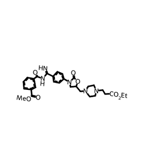 CCOC(=O)CCN1CCN(CC2CN(c3ccc(C(=N)NC(=O)c4cccc(C(=O)OC)c4)cc3)C(=O)O2)CC1